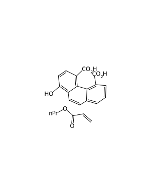 C=CC(=O)OCCC.O=C(O)c1cccc2ccc3c(O)ccc(C(=O)O)c3c12